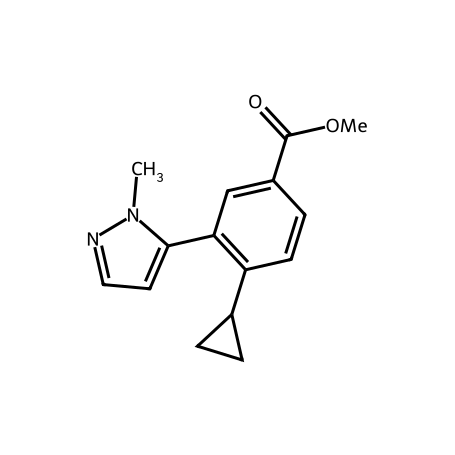 COC(=O)c1ccc(C2CC2)c(-c2ccnn2C)c1